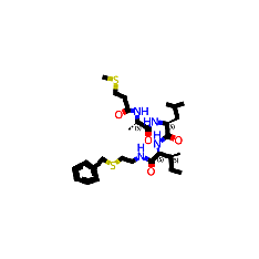 CC[C@H](C)[C@H](NC(=O)[C@H](CC(C)C)NC(=O)[C@H](C)NC(=O)CCSC)C(=O)NCCSCc1ccccc1